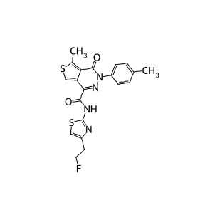 Cc1ccc(-n2nc(C(=O)Nc3nc(CCF)cs3)c3csc(C)c3c2=O)cc1